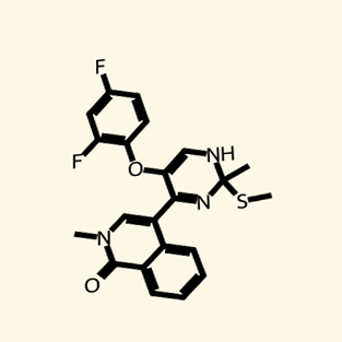 CSC1(C)N=C(c2cn(C)c(=O)c3ccccc23)C(Oc2ccc(F)cc2F)=CN1